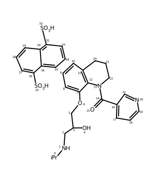 CC(C)NCC(O)COc1cccc2c1N(C(=O)c1cccnc1)CCC2.O=S(=O)(O)c1cccc2c(S(=O)(=O)O)cccc12